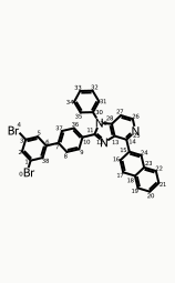 Brc1cc(Br)cc(-c2ccc(-c3nc4c(-c5ccc6ccccc6c5)nccc4n3-c3ccccc3)cc2)c1